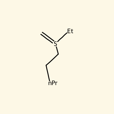 C=S(CC)CCCCC